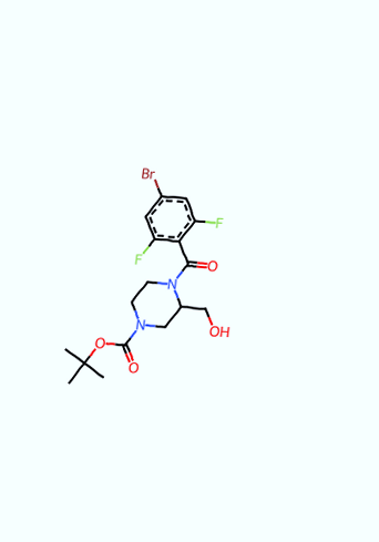 CC(C)(C)OC(=O)N1CCN(C(=O)c2c(F)cc(Br)cc2F)C(CO)C1